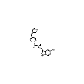 O=C(NCCc1c[nH]c2ccc(Cl)cc12)c1ccc(Cc2ccoc2)cc1